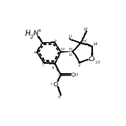 COC(=O)c1ccc(N)cc1[C@@H]1COCC1(C)C